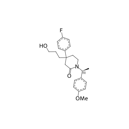 COc1ccc([C@H](C)N2CCC(CCCO)(c3ccc(F)cc3)CC2=O)cc1